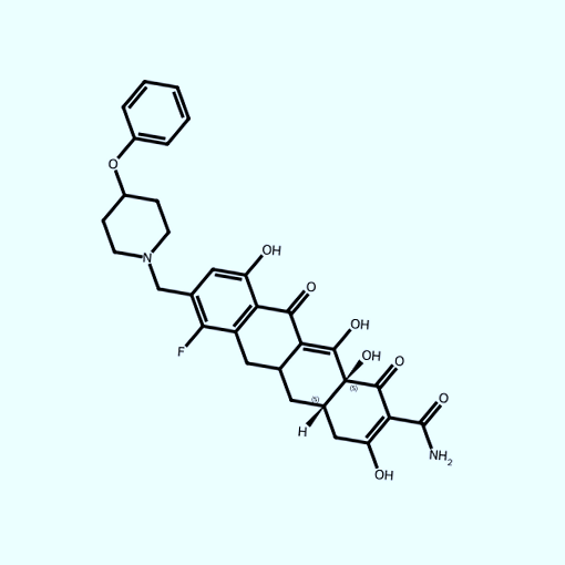 NC(=O)C1=C(O)C[C@@H]2CC3Cc4c(F)c(CN5CCC(Oc6ccccc6)CC5)cc(O)c4C(=O)C3=C(O)[C@]2(O)C1=O